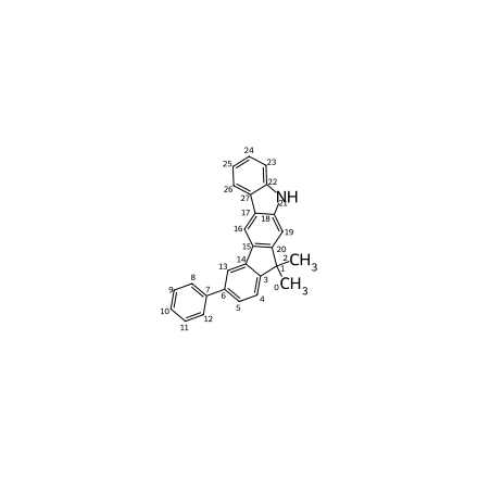 CC1(C)c2ccc(-c3ccccc3)cc2-c2cc3c(cc21)[nH]c1ccccc13